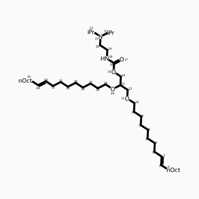 CCCCCCCCC=CCCCCCCCCOCC(COC(=O)NCCN(C(C)C)C(C)C)OCCCCCCCCC=CCCCCCCCC